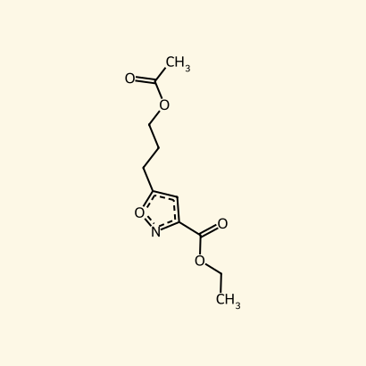 CCOC(=O)c1cc(CCCOC(C)=O)on1